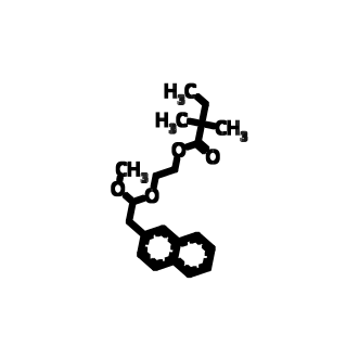 CCC(C)(C)C(=O)OCCOC(Cc1ccc2ccccc2c1)OC